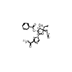 C[C@H]1[C@@H](OC(=O)c2ccccc2)[C@H](n2cnc(C(N)=O)n2)O[C@@]1(CI)N=[N+]=[N-]